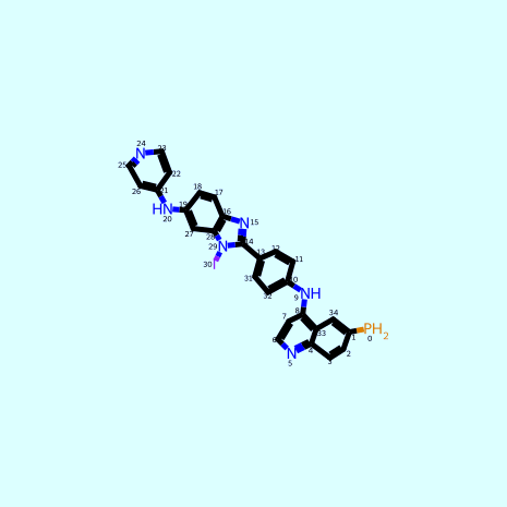 Pc1ccc2nccc(Nc3ccc(-c4nc5ccc(Nc6ccncc6)cc5n4I)cc3)c2c1